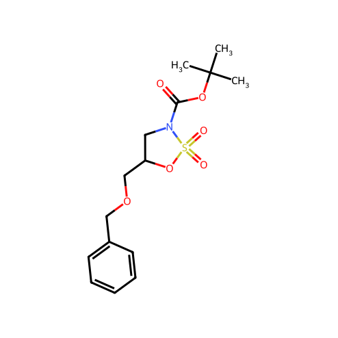 CC(C)(C)OC(=O)N1CC(COCc2ccccc2)OS1(=O)=O